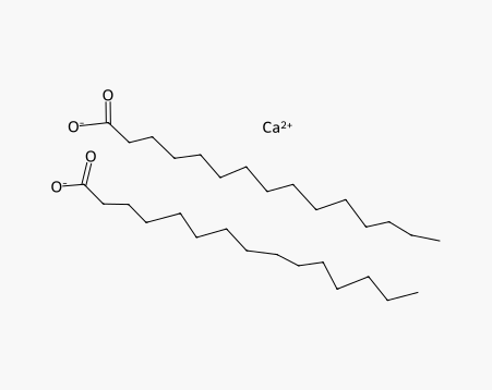 CCCCCCCCCCCCCCC(=O)[O-].CCCCCCCCCCCCCCC(=O)[O-].[Ca+2]